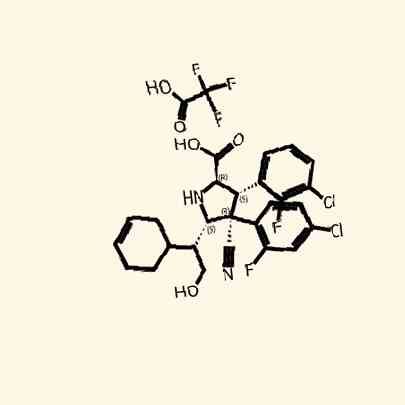 N#C[C@]1(c2ccc(Cl)cc2F)[C@H](C(CO)C2CC=CCC2)N[C@@H](C(=O)O)[C@@H]1c1cccc(Cl)c1F.O=C(O)C(F)(F)F